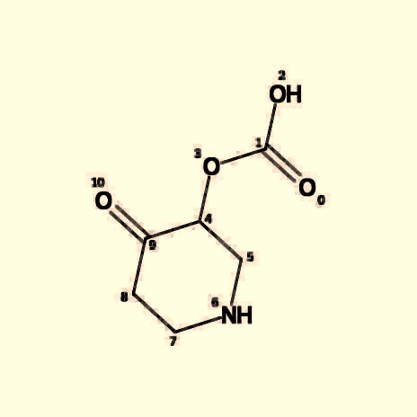 O=C(O)OC1CNCCC1=O